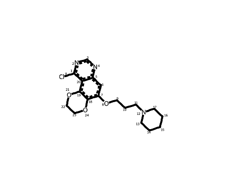 Clc1ncnc2cc(OCCCN3CCCCC3)c3c(c12)OCCO3